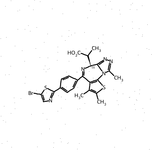 Cc1sc2c(c1C)C(c1ccc(-c3ncc(Br)s3)cc1)=N[C@@H](C(C)C(=O)O)c1nnc(C)n1-2